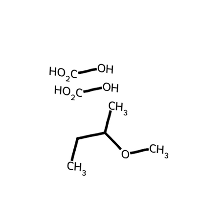 CCC(C)OC.O=C(O)O.O=C(O)O